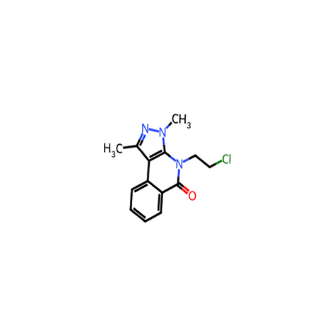 Cc1nn(C)c2c1c1ccccc1c(=O)n2CCCl